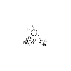 CC(C)(C)S(=O)NCc1ccc(F)c(Cl)c1.CC[O-].CC[O-].CC[O-].CC[O-].[Ti+4]